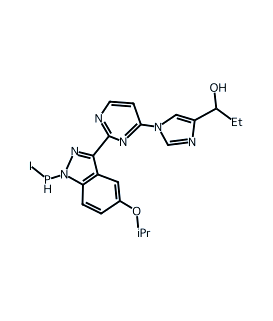 CCC(O)c1cn(-c2ccnc(-c3nn(PI)c4ccc(OC(C)C)cc34)n2)cn1